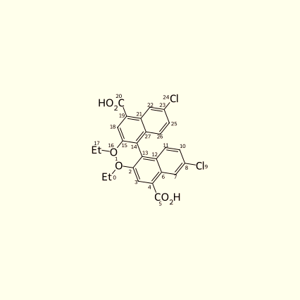 CCOc1cc(C(=O)O)c2cc(Cl)ccc2c1-c1c(OCC)cc(C(=O)O)c2cc(Cl)ccc12